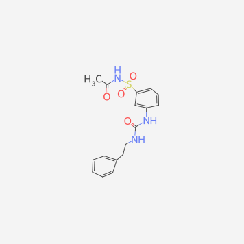 CC(=O)NS(=O)(=O)c1cccc(NC(=O)NCCc2ccccc2)c1